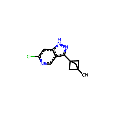 N#CC12CC(c3n[nH]c4cc(Cl)ncc34)(C1)C2